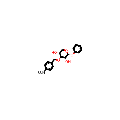 O=[N+]([O-])c1ccc(CO[C@@H]2[C@@H](O)[C@@H](Oc3ccccc3)OC[C@H]2O)cc1